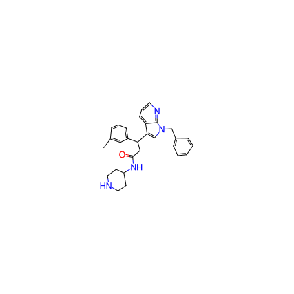 Cc1cccc(C(CC(=O)NC2CCNCC2)c2cn(Cc3ccccc3)c3ncccc23)c1